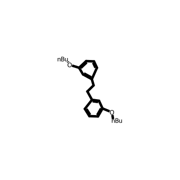 CCCCOc1cccc(CCc2cccc(OCCCC)c2)c1